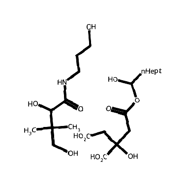 CC(C)(CO)C(O)C(=O)NCCCO.CCCCCCCC(O)OC(=O)CC(O)(CC(=O)O)C(=O)O